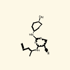 C=CCC(C)Nc1nc(N[C@H]2CC[C@H](O)CC2)ncc1C#N